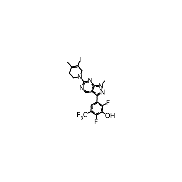 CC1=C(I)CN(c2ncc3c(-c4cc(C(F)(F)F)c(F)c(O)c4F)nn(C)c3n2)CC1